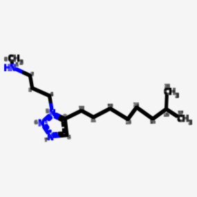 CNCCCn1nncc1CCCCCCC(C)C